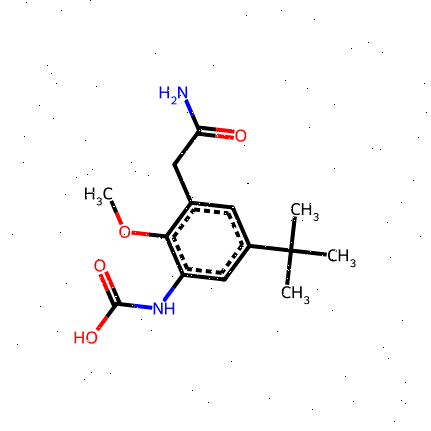 COc1c(CC(N)=O)cc(C(C)(C)C)cc1NC(=O)O